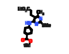 CCOC(=O)C=Cc1c(C)nc(SC)nc1Nc1ccc(C(=O)OC(C)(C)C)cc1